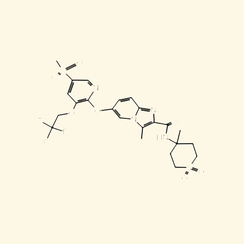 Cc1c(C(=O)NC2(C)CCS(=O)(=O)CC2)nc2ccc(Oc3ncc(S(C)(=O)=O)cc3OCC(F)(F)F)cn12